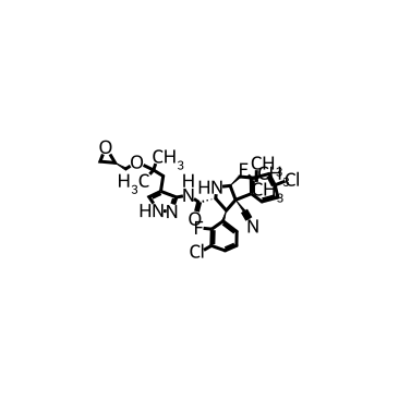 CC(C)(C)C[C@@H]1N[C@@H](C(=O)Nc2n[nH]cc2CC(C)(C)OC[C@H]2CO2)[C@H](c2cccc(Cl)c2F)[C@@]1(C#N)c1ccc(Cl)cc1F